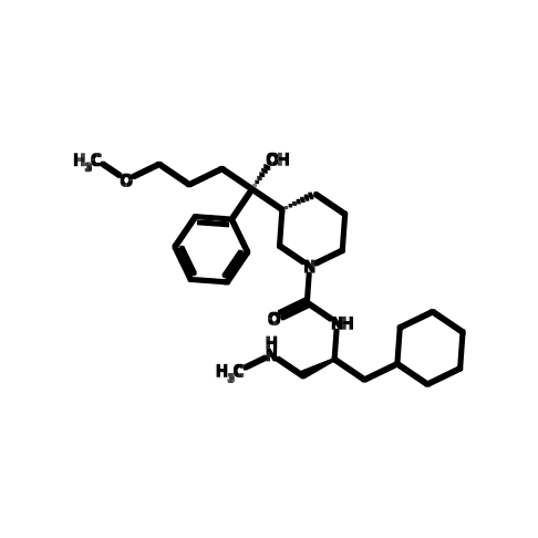 CNC[C@H](CC1CCCCC1)NC(=O)N1CCC[C@@H]([C@](O)(CCCOC)c2ccccc2)C1